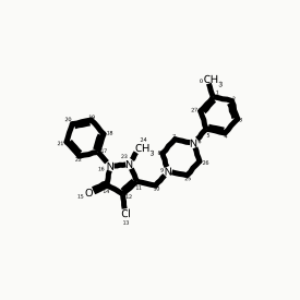 Cc1cccc(N2CCN(Cc3c(Cl)c(=O)n(-c4ccccc4)n3C)CC2)c1